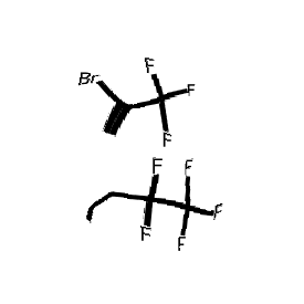 C=C(Br)C(F)(F)F.CCC(F)(F)C(F)(F)F